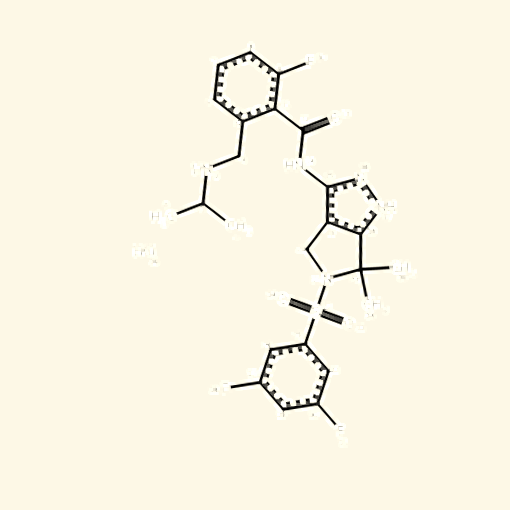 CC(C)NCc1cccc(F)c1C(=O)Nc1n[nH]c2c1CN(S(=O)(=O)c1cc(F)cc(F)c1)C2(C)C.Cl